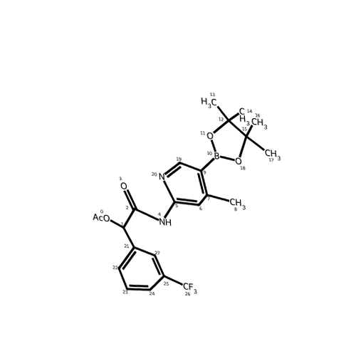 CC(=O)OC(C(=O)Nc1cc(C)c(B2OC(C)(C)C(C)(C)O2)cn1)c1cccc(C(F)(F)F)c1